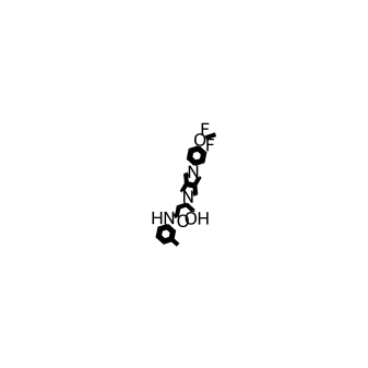 Cc1cccc(NC(=O)CC(CO)N2CC3=C(CN(c4ccc(OC(C)(F)F)cc4)C3)C2)c1